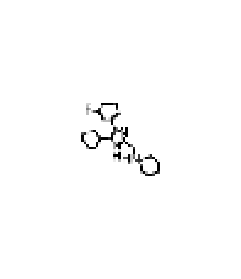 Fc1cccc(-c2nc(CNC3CCCCC3)[nH]c2C2CCCCC2)c1